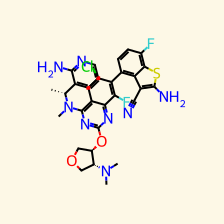 C[C@H](c1cccnc1N)N(C)c1nc(O[C@@H]2COC[C@H]2N(C)C)nc2c(F)c(-c3ccc(F)c4sc(N)c(C#N)c34)c(Cl)cc12